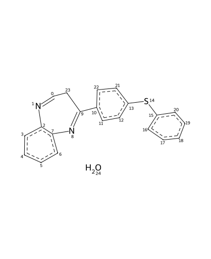 C1=Nc2ccccc2N=C(c2ccc(Sc3ccccc3)cc2)C1.O